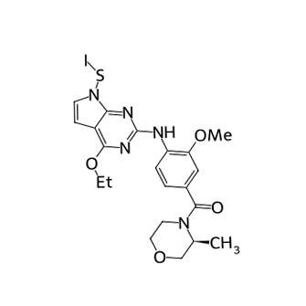 CCOc1nc(Nc2ccc(C(=O)N3CCOC[C@@H]3C)cc2OC)nc2c1ccn2SI